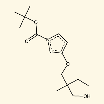 CCC(C)(CO)COc1ccn(C(=O)OC(C)(C)C)n1